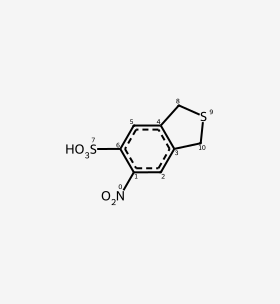 O=[N+]([O-])c1cc2c(cc1S(=O)(=O)O)CSC2